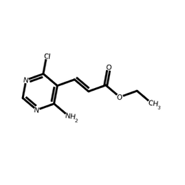 CCOC(=O)/C=C/c1c(N)ncnc1Cl